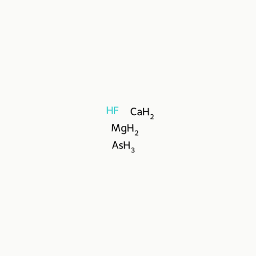 F.[AsH3].[CaH2].[MgH2]